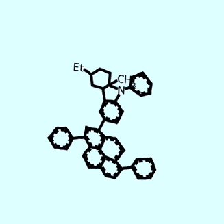 CCC1CCC2(C)C(C1)c1cc(-c3cc(-c4ccccc4)c4ccc5ccc(-c6ccccc6)c6ccc3c4c56)ccc1N2c1ccccc1